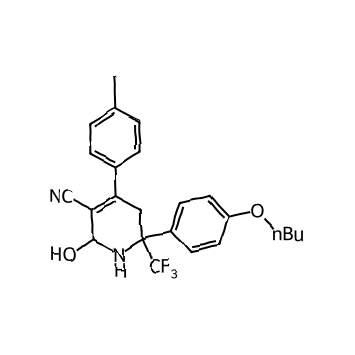 CCCCOc1ccc(C2(C(F)(F)F)CC(c3ccc(C)cc3)=C(C#N)C(O)N2)cc1